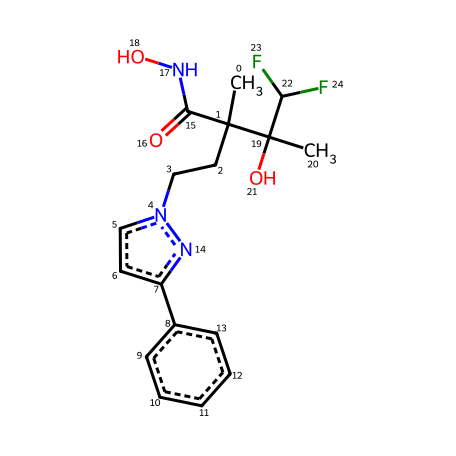 CC(CCn1ccc(-c2ccccc2)n1)(C(=O)NO)C(C)(O)C(F)F